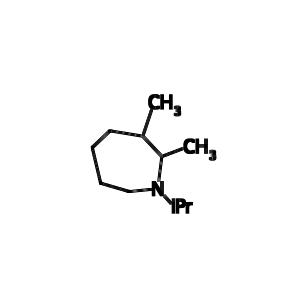 CC1CCCCN(C(C)C)C1C